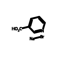 O=C(O)c1cccnc1.[Na][Br]